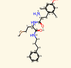 CSCC[C@@H](NC(=O)[C@H](N)Cc1c(C)cc(O)cc1C)C(=O)NCCCc1ccccc1